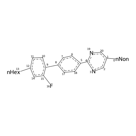 CCCCCCCCCc1cnc(-c2ccc(-c3ccc(CCCCCC)cc3F)cc2)nc1